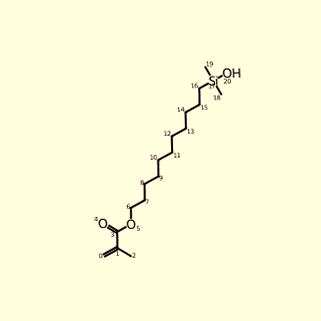 C=C(C)C(=O)OCCCCCCCCCCC[Si](C)(C)O